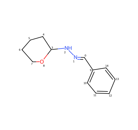 C(=NNC1CCCCO1)c1ccccc1